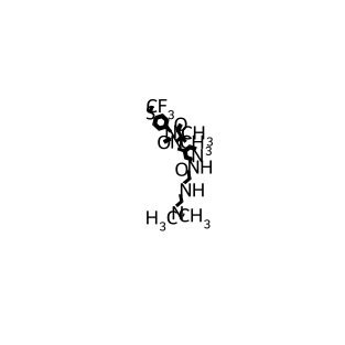 CN(C)CCCNCCC(=O)Nc1cc(CN2C(=O)N(c3ccc(SC(F)(F)F)cc3)C(=O)C2(C)C)ccn1